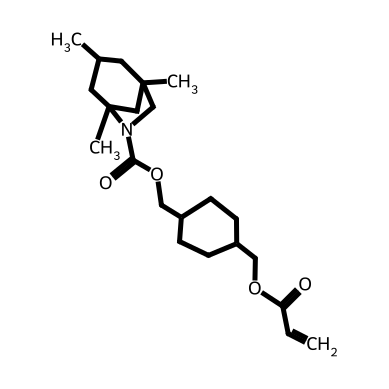 C=CC(=O)OCC1CCC(COC(=O)N2CC3(C)CC(C)CC2(C)C3)CC1